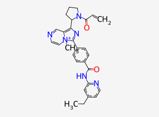 C=CC(=O)N1CCCC1C1=C2C=NC=C[N+]2(C)C(c2ccc(C(=O)Nc3cc(CC)ccn3)cc2)=N1